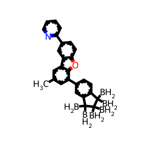 BC1(B)c2ccc(-c3cc(C)cc4c3oc3ccc(-c5ccccn5)cc34)cc2C(B)(B)C1(B)B